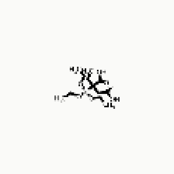 CCO[Si](OCC)(OCC)C(CC)(CC(=O)O)C(=O)O